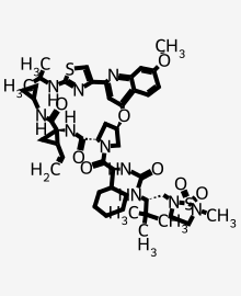 C=CC1C[C@]1(NC(=O)[C@@H]1C[C@@H](Oc2cc(-c3csc(NC(C)C)n3)nc3cc(OC)ccc23)CN1C(=O)[C@@H](NC(=O)N[C@H](CN1CCN(C)S1(=O)=O)C(C)(C)C)C1CCCCC1)C(=O)NC1CC1